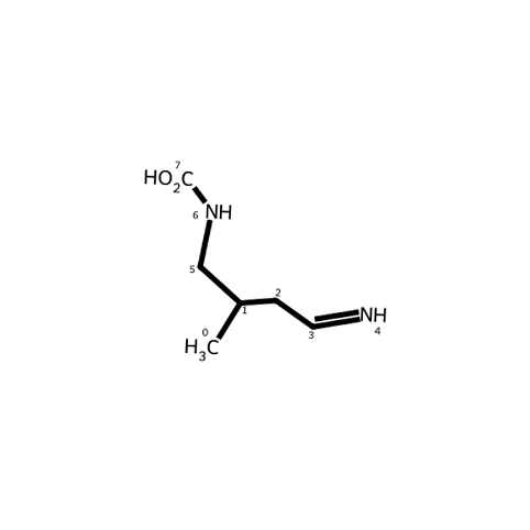 CC(CC=N)CNC(=O)O